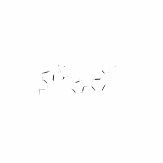 Cc1ccc(NC(=O)C2(c3ccc4c(c3)OC(F)(F)O4)CC2)nc1-c1cccc(C(=O)NCC(=O)O)c1